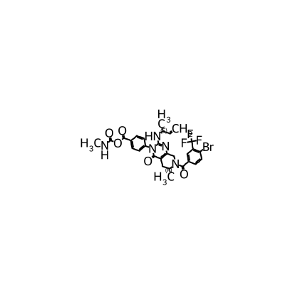 C=C[C@H](C)Nc1nc2c(c(=O)n1-c1ccc(C(=O)OC(=O)NC)cc1)C[C@@H](C)N(C(=O)c1ccc(Br)c(C(F)(F)F)c1)C2